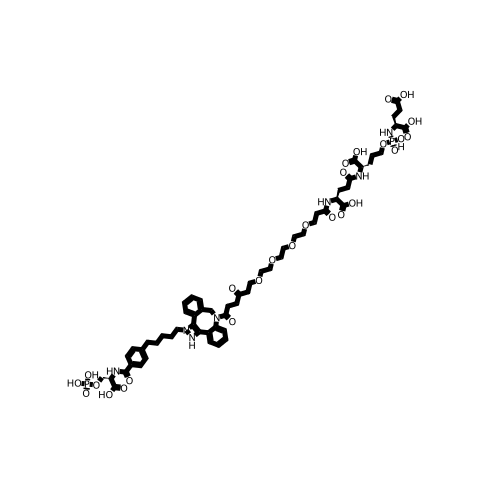 O=C(O)CC[C@H](NP(=O)(O)OCCC[C@H](NC(=O)CC[C@H](NC(=O)CCOCCOCCOCCOCCC(=O)CCC(=O)N1Cc2ccccc2-c2c([nH]n2CCCCCc2ccc(C(=O)N[C@@H](COP(=O)(O)O)C(=O)O)cc2)-c2ccccc21)C(=O)O)C(=O)O)C(=O)O